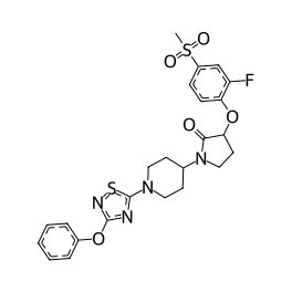 CS(=O)(=O)c1ccc(OC2CCN(C3CCN(c4nc(Oc5ccccc5)ns4)CC3)C2=O)c(F)c1